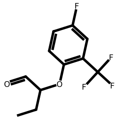 CCC(C=O)Oc1ccc(F)cc1C(F)(F)F